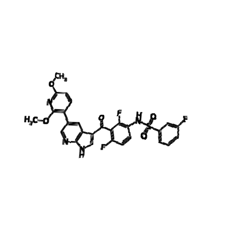 COc1ccc(-c2cnc3[nH]cc(C(=O)c4c(F)ccc(NS(=O)(=O)c5cccc(F)c5)c4F)c3c2)c(OC)n1